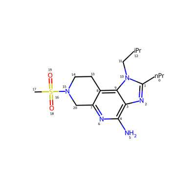 CCCc1nc2c(N)nc3c(c2n1CC(C)C)CCN(S(C)(=O)=O)C3